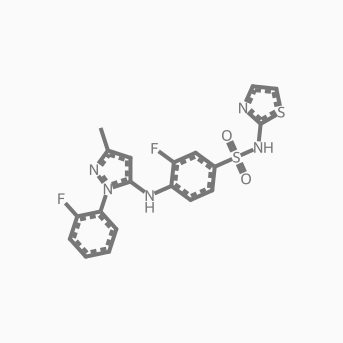 Cc1cc(Nc2ccc(S(=O)(=O)Nc3nccs3)cc2F)n(-c2ccccc2F)n1